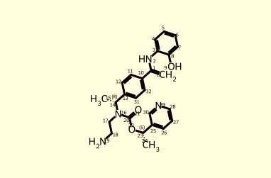 C=C(Nc1ccccc1O)c1ccc([C@@H](C)N(CCN)C(=O)O[C@@H](C)c2cccnc2)cc1